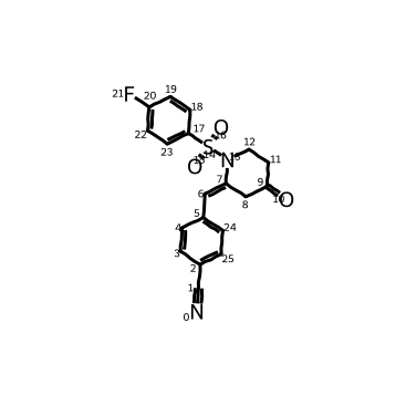 N#Cc1ccc(C=C2CC(=O)CCN2S(=O)(=O)c2ccc(F)cc2)cc1